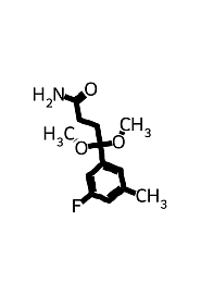 COC(CCC(N)=O)(OC)c1cc(C)cc(F)c1